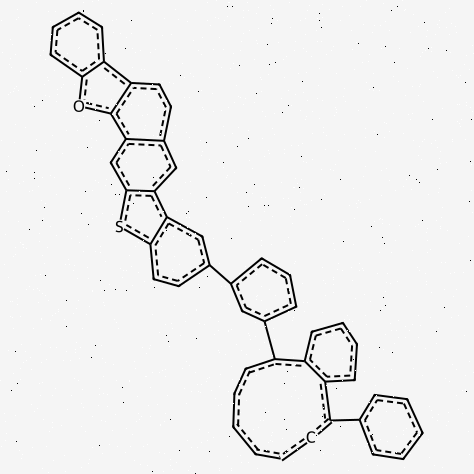 c1ccc(-c2ccccccc(-c3cccc(-c4ccc5sc6cc7c(ccc8c9ccccc9oc78)cc6c5c4)c3)c3ccccc23)cc1